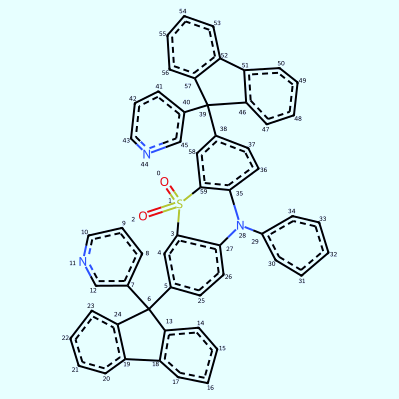 O=S1(=O)c2cc(C3(c4cccnc4)c4ccccc4-c4ccccc43)ccc2N(c2ccccc2)c2ccc(C3(c4cccnc4)c4ccccc4-c4ccccc43)cc21